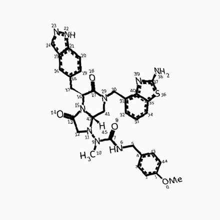 COc1ccc(CNC(=O)N(C)N2CC(=O)N3[C@@H](Cc4ccc5[nH]ncc5c4)C(=O)N(Cc4cccc5sc(N)nc45)C[C@@H]32)cc1